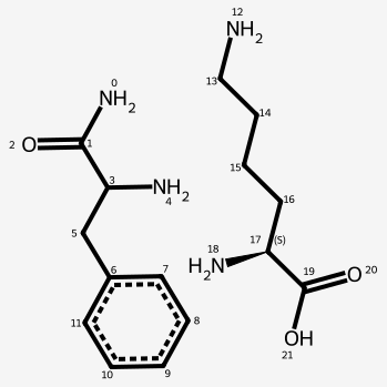 NC(=O)C(N)Cc1ccccc1.NCCCC[C@H](N)C(=O)O